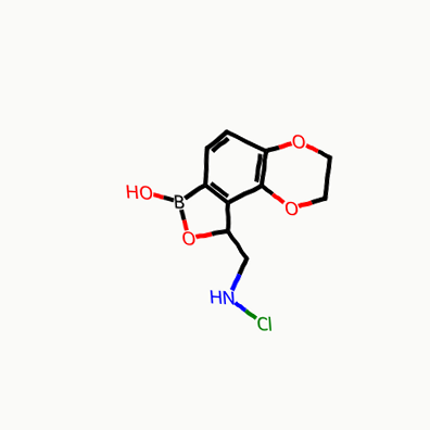 OB1OC(CNCl)c2c1ccc1c2OCCO1